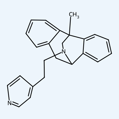 CC12CN(CCc3ccncc3)C(Cc3ccccc31)c1ccccc12